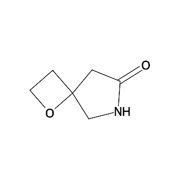 O=C1CC2(CCO2)CN1